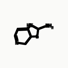 NC1NC2=CC=NCC2S1